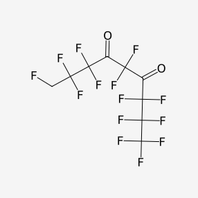 O=C(C(F)(F)C(=O)C(F)(F)C(F)(F)C(F)(F)F)C(F)(F)C(F)(F)CF